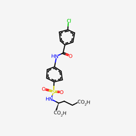 O=C(O)CC[C@H](NS(=O)(=O)c1ccc(NC(=O)c2ccc(Cl)cc2)cc1)C(=O)O